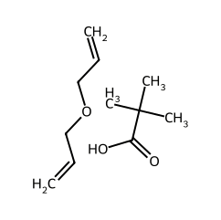 C=CCOCC=C.CC(C)(C)C(=O)O